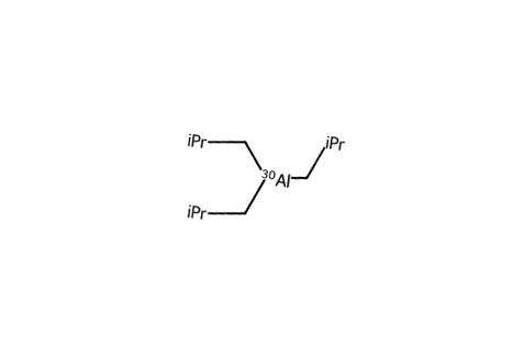 CC(C)[CH2][30Al]([CH2]C(C)C)[CH2]C(C)C